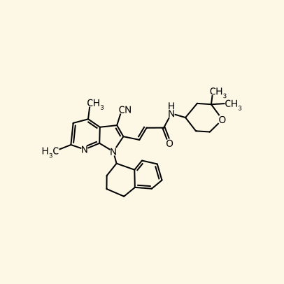 Cc1cc(C)c2c(C#N)c(/C=C/C(=O)NC3CCOC(C)(C)C3)n(C3CCCc4ccccc43)c2n1